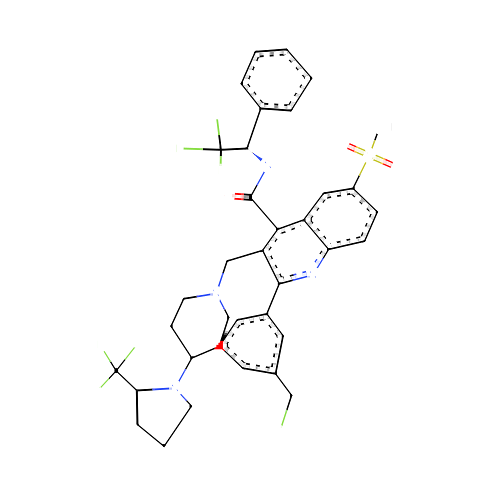 CS(=O)(=O)c1ccc2nc(-c3cccc(CF)c3)c(CN3CCC(N4CCCC4C(F)(F)F)CC3)c(C(=O)N[C@H](c3ccccc3)C(F)(F)F)c2c1